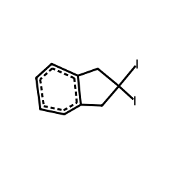 IC1(I)Cc2ccccc2C1